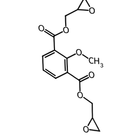 COc1c(C(=O)OCC2CO2)cccc1C(=O)OCC1CO1